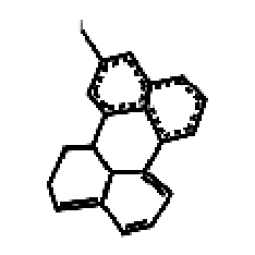 Ic1cc2c3c(cccc3c1)C1=CC=CC3=CCCC2C31